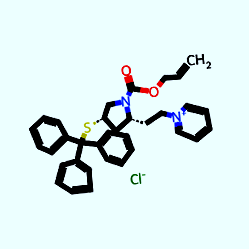 C=CCOC(=O)N1C[C@@H](SC(c2ccccc2)(c2ccccc2)c2ccccc2)C[C@H]1CC[n+]1ccccc1.[Cl-]